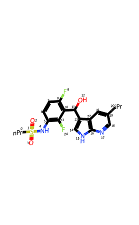 CCCS(=O)(=O)Nc1ccc(F)c(C(O)c2c[nH]c3ncc(C(C)C)cc23)c1F